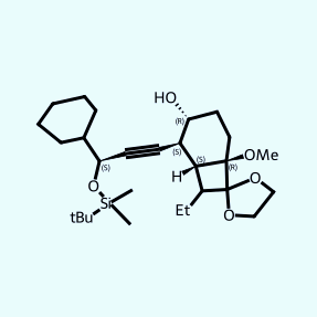 CCC1[C@@H]2[C@@H](C#C[C@@H](O[Si](C)(C)C(C)(C)C)C3CCCCC3)[C@H](O)CC[C@]2(OC)C12OCCO2